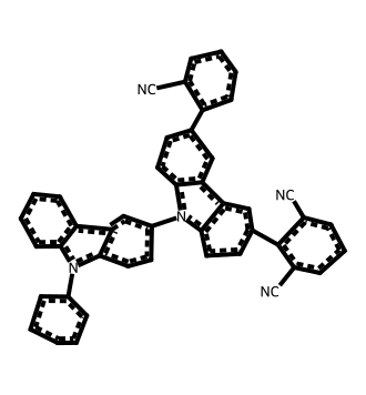 N#Cc1ccccc1-c1ccc2c(c1)c1cc(-c3c(C#N)cccc3C#N)ccc1n2-c1ccc2c(c1)c1ccccc1n2-c1ccccc1